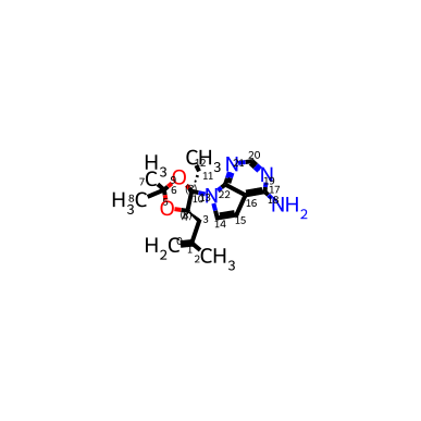 C=C(C)C[C@H]1OC(C)(C)O[C@@]1(CC)n1ccc2c(N)ncnc21